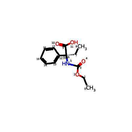 CCOC(=O)N[C@](CC)(C(=O)O)c1ccccc1